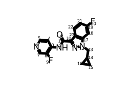 O=C(Nc1ccncc1F)c1nn(CC2CC2)c2cc(F)ccc12